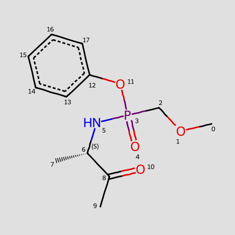 COCP(=O)(N[C@@H](C)C(C)=O)Oc1ccccc1